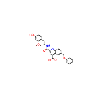 COC[C@H](Cc1ccc(O)cc1)NC(=O)c1cc(C(=O)O)c2cc(COc3ccccc3)ccc2n1